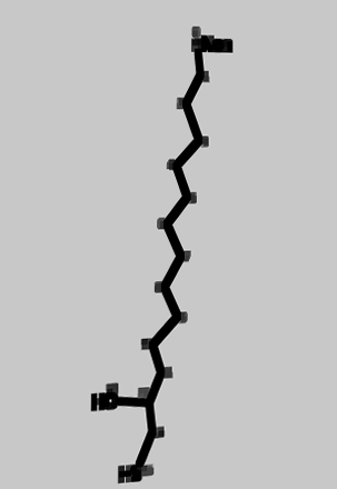 CCCCCCCCCCCCCCCCCCCCC(O)CS